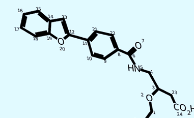 COCOC(CNC(=O)c1ccc(-c2cc3ccccc3o2)cc1)CC(=O)O